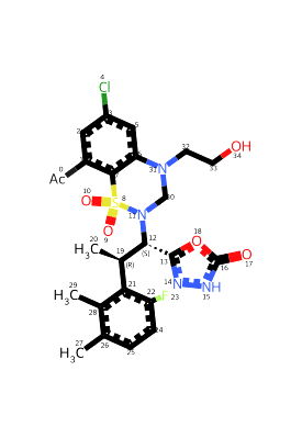 CC(=O)c1cc(Cl)cc2c1S(=O)(=O)N([C@H](c1n[nH]c(=O)o1)[C@H](C)c1c(F)ccc(C)c1C)CN2CCO